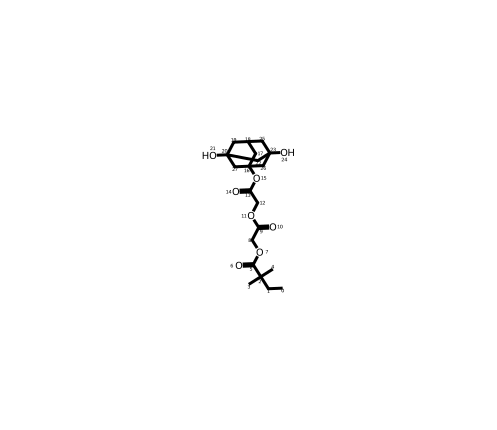 CCC(C)(C)C(=O)OCC(=O)OCC(=O)OC12CC3CC(O)(CC(O)(C3)C1)C2